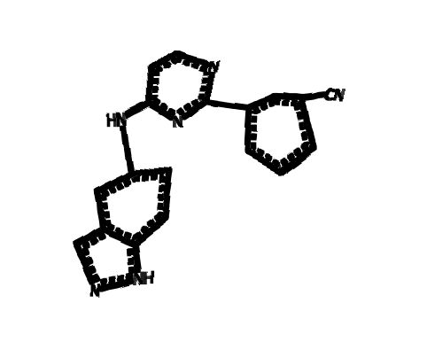 N#Cc1cccc(-c2nccc(Nc3ccc4[nH]ncc4c3)n2)c1